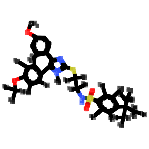 [3H]c1cc(OC)ccc1-c1nc(SC([3H])([3H])C([3H])([3H])NS(=O)(=O)c2c([3H])c([3H])c(C(C([3H])([3H])[3H])(C([3H])([3H])[3H])C([3H])([3H])[3H])c([3H])c2[3H])n([3H])c1-c1c([3H])c([3H])c(OC([3H])([3H])[3H])c([3H])c1[3H]